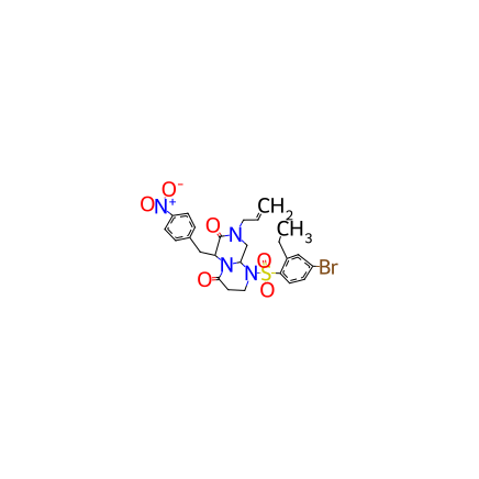 C=CCN1CC2N(C(=O)CCN2S(=O)(=O)c2ccc(Br)cc2CC)C(Cc2ccc([N+](=O)[O-])cc2)C1=O